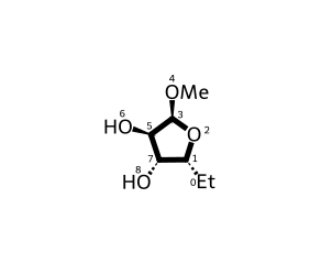 CC[C@H]1O[C@H](OC)[C@H](O)[C@H]1O